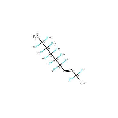 FC(F)(F)C(F)(F)C=CC(F)(F)C(F)(F)C(F)(F)C(F)(F)C(F)(F)C(F)(F)F